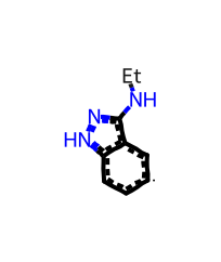 CCNc1n[nH]c2cc[c]cc12